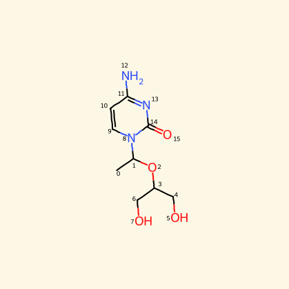 CC(OC(CO)CO)n1ccc(N)nc1=O